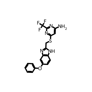 Nc1cc(SCc2nc3cc(Oc4ccccc4)ccc3[nH]2)nc(C(F)(F)F)n1